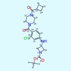 CC(C)(C)OC(=O)N1CC(Nc2ccc(C(=O)N3CCN(C(=O)C4CCC4)CC3)c(Cl)c2)C1